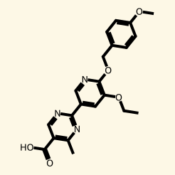 CCOc1cc(-c2ncc(C(=O)O)c(C)n2)cnc1OCc1ccc(OC)cc1